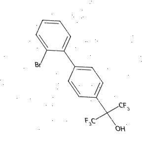 OC(c1ccc(-c2ccccc2Br)cc1)(C(F)(F)F)C(F)(F)F